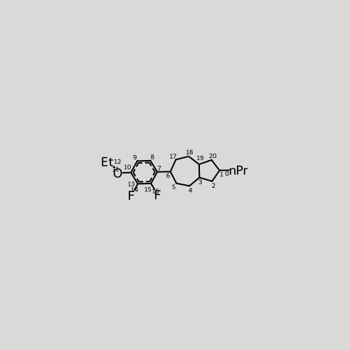 CCCC1CC2CCC(c3ccc(OCC)c(F)c3F)CCC2C1